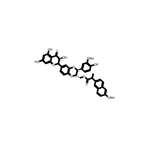 COc1ccc2cc(C(C)C(=O)OC[C@@H]3Oc4ccc(C5Oc6cc(O)cc(O)c6C(=O)[C@H]5O)cc4O[C@H]3c3ccc(O)c(OC)c3)ccc2c1